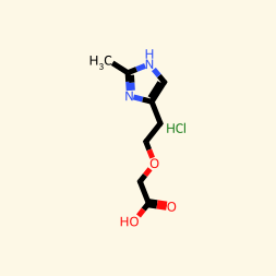 Cc1nc(CCOCC(=O)O)c[nH]1.Cl